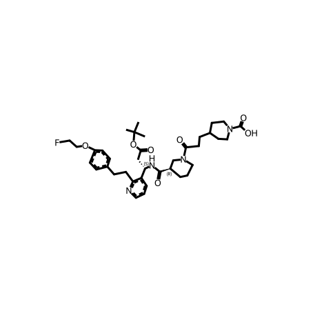 CC(C)(C)OC(=O)C[C@H](NC(=O)[C@@H]1CCCN(C(=O)CCC2CCN(C(=O)O)CC2)C1)c1cccnc1CCc1ccc(OCCF)cc1